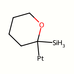 [SiH3][C]1([Pt])CCCCO1